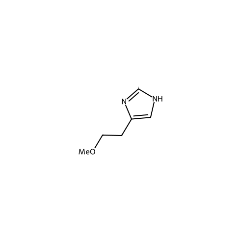 COCCc1c[nH][c]n1